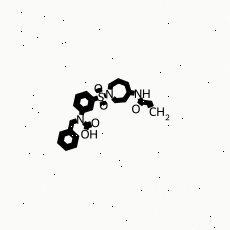 C=CC(=O)NC1CCCN(S(=O)(=O)c2cccc(N(Cc3ccccc3)C(=O)O)c2)CC1